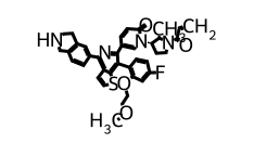 C=CC(=O)N1CC[C@H](n2cc(-c3nc(-c4ccc5c(c4)CCNC5)c4ccsc4c3-c3ccc(F)cc3OCCOC)ccc2=O)[C@H]1C